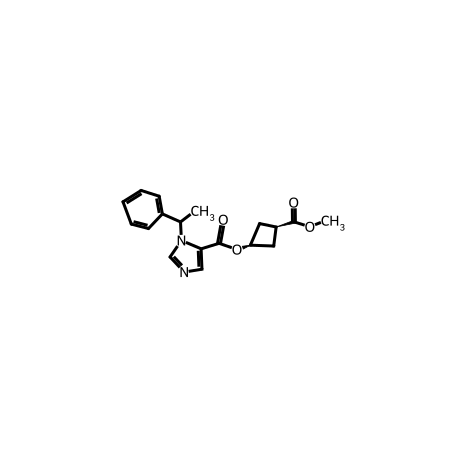 COC(=O)[C@H]1C[C@@H](OC(=O)c2cncn2C(C)c2ccccc2)C1